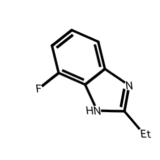 CCc1nc2cccc(F)c2[nH]1